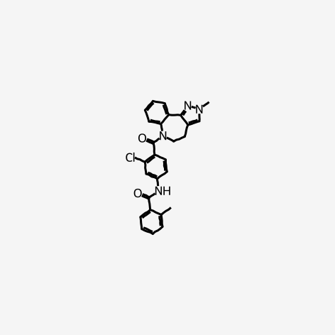 Cc1ccccc1C(=O)Nc1ccc(C(=O)N2CCc3cn(C)nc3-c3ccccc32)c(Cl)c1